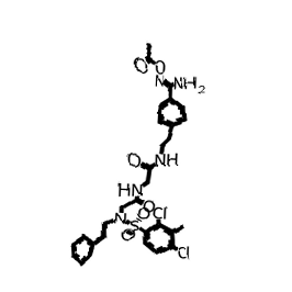 CC(=O)ON=C(N)c1ccc(CCNC(=O)CNC(=O)CN(CCc2ccccc2)S(=O)(=O)c2ccc(Cl)c(C)c2Cl)cc1